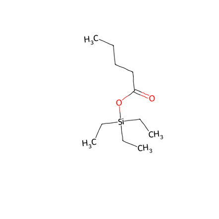 CCCCC(=O)O[Si](CC)(CC)CC